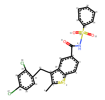 Cc1sc2ccc(C(=O)NS(=O)(=O)c3ccccc3)cc2c1Cc1ccc(Cl)cc1Cl